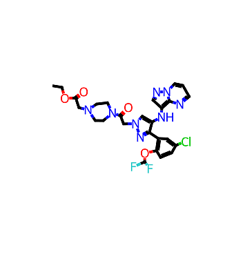 CCOC(=O)CN1CCN(C(=O)Cn2cc(Nc3cnn4cccnc34)c(-c3cc(Cl)ccc3OC(F)F)n2)CC1